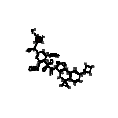 COc1cc(C(=O)N2CC3(F)CC2C3)cc(OC)c1S(=O)(=O)Nc1noc2c1CC1(CC1)c1ccc(N3CCC3)cc1-2